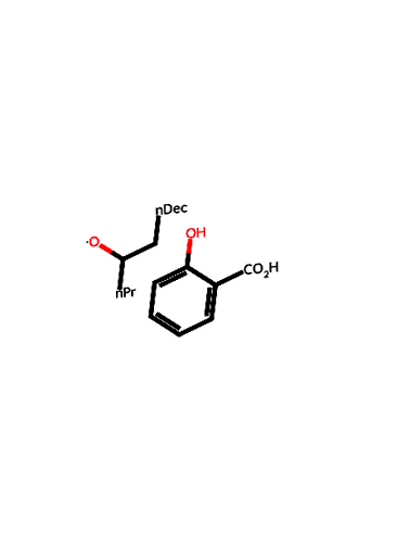 CCCCCCCCCCCC([O])CCC.O=C(O)c1ccccc1O